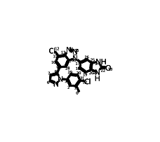 Cc1cc(-n2nccc2-c2cc(Cl)c3nnn(-c4ccc5[nH]c(=O)[nH]c5c4)c3c2)ccc1Cl